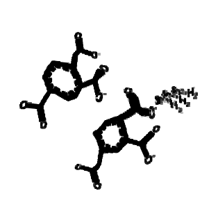 O=C([O-])c1ccc(C(=O)[O-])c(C(=O)[O-])c1.O=C([O-])c1ccc(C(=O)[O-])c(C(=O)[O-])c1.[SnH2+2].[SnH2+2].[SnH2+2]